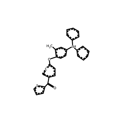 Cc1cc([SH](c2ccccc2)c2ccccc2)ccc1Oc1ccc(C(=O)c2cccs2)cc1